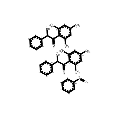 Cc1cc(C)c(C(=O)C(O)c2ccccc2)c(C)c1.Cc1cc(C)c(C(=O)C(O)c2ccccc2)c(C)c1.O=Pc1ccccc1